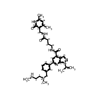 CNCCN(C)Cc1cccc(-c2cc(C(=O)NCCCC(=O)NCc3c(C)cc(C)[nH]c3=O)c3cnn(C(C)C)c3n2)c1